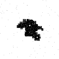 CCCCCC(C)C1(COCCOC)CC(COCc2ccccc2)(C(N)=O)C(O)C(NCS(C)(=O)=O)=C1C(=O)NC(C(=O)NCc1ccccc1)C(C)CC